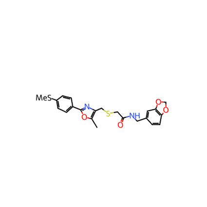 CSc1ccc(-c2nc(CSCC(=O)NCc3ccc4c(c3)OCO4)c(C)o2)cc1